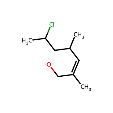 CC(=CC(C)CC(C)Cl)C[O]